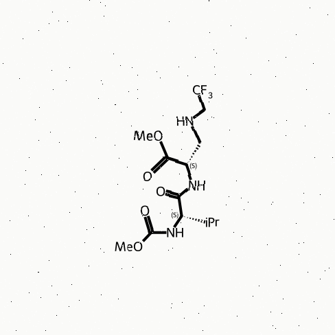 COC(=O)N[C@H](C(=O)N[C@@H](CNCC(F)(F)F)C(=O)OC)C(C)C